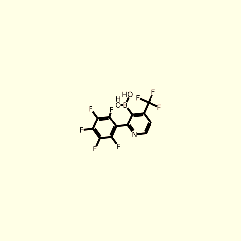 OB(O)c1c(C(F)(F)F)ccnc1-c1c(F)c(F)c(F)c(F)c1F